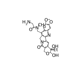 CC[C@]1(O)c2cc3n(c(=O)c2COC1O)Cc1c-3nc2cc3c(cc2c1CN(C)C(=O)CN)OCO3